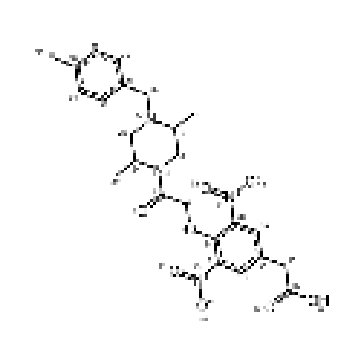 CC1CN(C(=O)COc2c([N+](=O)[O-])cc(CC(=O)O)cc2[N+](=O)[O-])C(C)CN1Cc1ccc(F)cc1